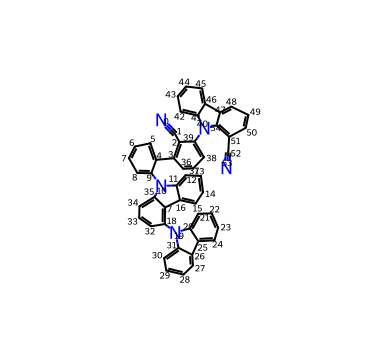 N#Cc1c(-c2ccccc2-n2c3ccccc3c3c(-n4c5ccccc5c5ccccc54)cccc32)cccc1-n1c2ccccc2c2cccc(C#N)c21